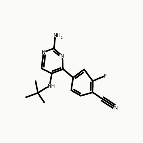 CC(C)(C)Nc1cnc(N)nc1-c1ccc(C#N)c(F)c1